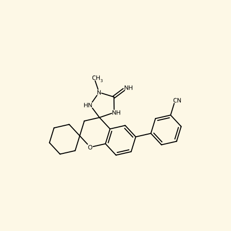 CN1NC2(CC3(CCCCC3)Oc3ccc(-c4cccc(C#N)c4)cc32)NC1=N